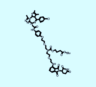 CC1=C(C)C2C(c3ccc(Cl)cc3)=N[C@@H](CC(=O)Nc3ccc(OCCOCCN(CCOCCNc4cccc5c4C(=O)N(C4CCC(=O)NC4=O)C5=O)C(=O)OCCCC(=O)OC(C)(C)C)cc3)c3nnc(C)n3C2S1